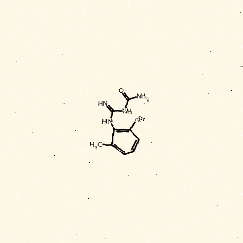 CCCc1cccc(C)c1NC(=N)NC(N)=O